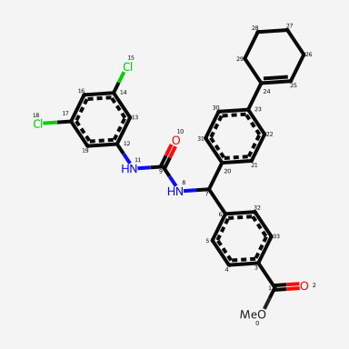 COC(=O)c1ccc(C(NC(=O)Nc2cc(Cl)cc(Cl)c2)c2ccc(C3=CCCCC3)cc2)cc1